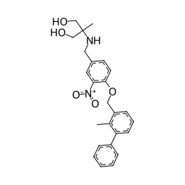 Cc1c(COc2ccc(CNC(C)(CO)CO)cc2[N+](=O)[O-])cccc1-c1ccccc1